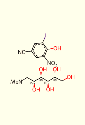 CNC[C@H](O)[C@@H](O)[C@H](O)[C@H](O)CO.N#Cc1cc(I)c(O)c([N+](=O)[O-])c1